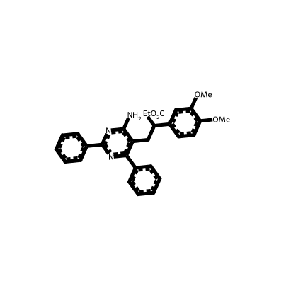 CCOC(=O)C(Cc1c(N)nc(-c2ccccc2)nc1-c1ccccc1)c1ccc(OC)c(OC)c1